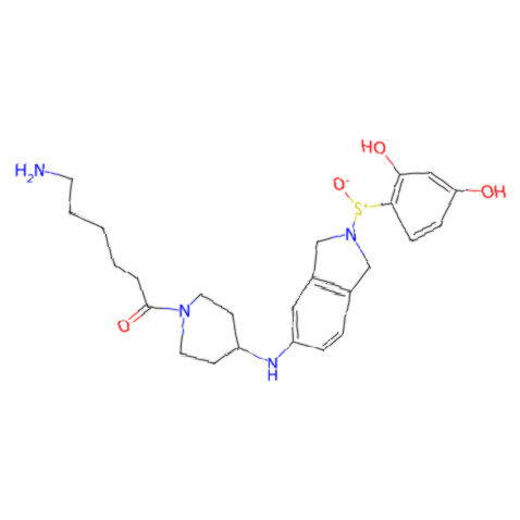 NCCCCCC(=O)N1CCC(Nc2ccc3c(c2)CN([S+]([O-])c2ccc(O)cc2O)C3)CC1